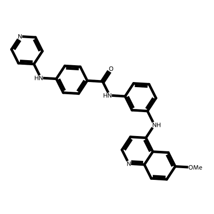 COc1ccc2nccc(Nc3cccc(NC(=O)c4ccc(Nc5ccncc5)cc4)c3)c2c1